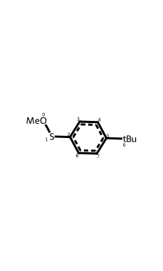 COSc1ccc(C(C)(C)C)cc1